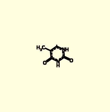 Cc1[c][nH]c(=O)[nH]c1=O